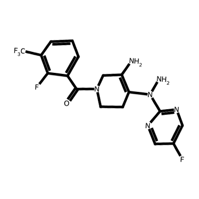 NC1=C(N(N)c2ncc(F)cn2)CCN(C(=O)c2cccc(C(F)(F)F)c2F)C1